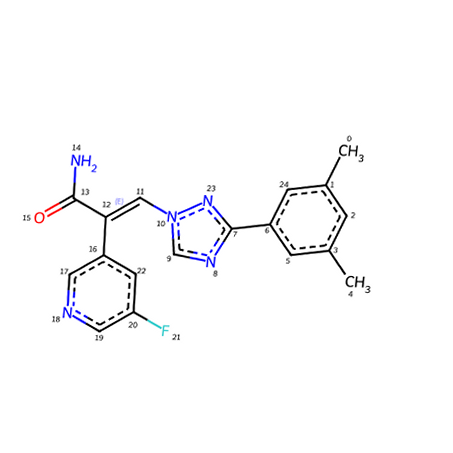 Cc1cc(C)cc(-c2ncn(/C=C(/C(N)=O)c3cncc(F)c3)n2)c1